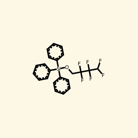 FC(F)C(F)(F)C(F)(F)CO[Si](c1ccccc1)(c1ccccc1)c1ccccc1